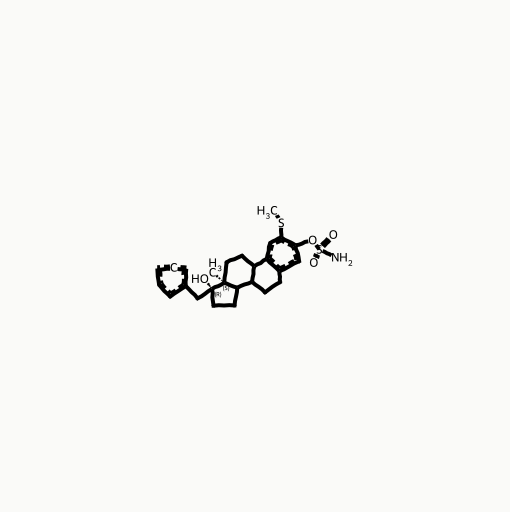 CSc1cc2c(cc1OS(N)(=O)=O)CCC1C2CC[C@@]2(C)C1CC[C@@]2(O)Cc1ccccc1